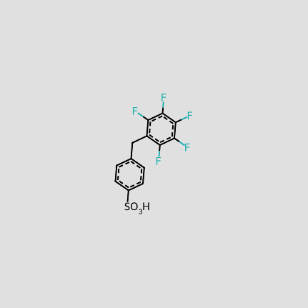 O=S(=O)(O)c1ccc(Cc2c(F)c(F)c(F)c(F)c2F)cc1